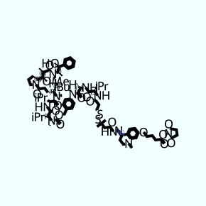 CC[C@H](C)[C@@H](CCC(=O)N1CCC[C@H]1[C@H](OC)[C@@H](C)C(=O)N[C@H](C)[C@@H](O)c1ccccc1)N(C)C(=O)C(NC(=O)[C@H](C(C)C)N(C)C(=O)OCc1ccc(NC(=O)[C@H](C)NC(=O)[C@@H](NC(=O)CCSSC(C)(C)CC(=O)N/N=C2\CCN(C)c3cc(OCCCC(=O)ON4C(=O)CCC4=O)ccc32)C(C)C)cc1)C(C)C